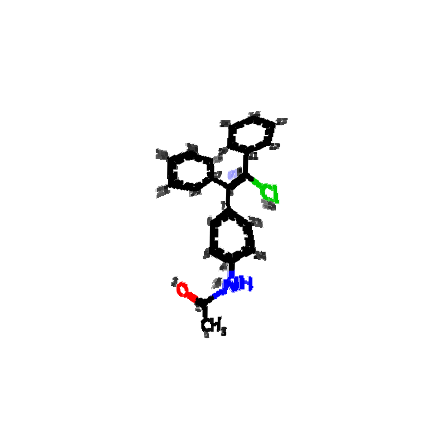 CC(=O)Nc1ccc(/C(=C(\Cl)c2ccccc2)c2ccccc2)cc1